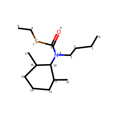 CCCCN(C(=O)SCC)C1C(C)CCCC1C